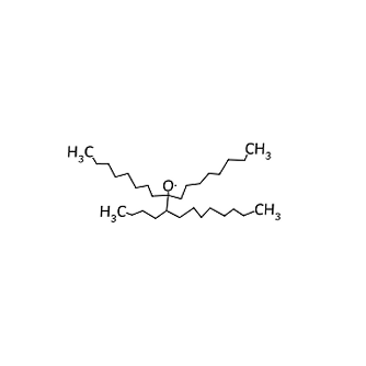 CCCCCCCCC(CCCC)C([O])(CCCCCCCC)CCCCCCCC